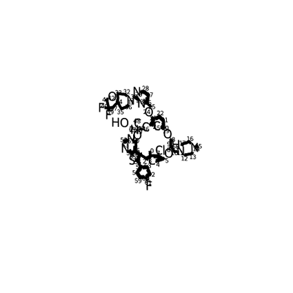 Cc1c2ccc(c1Cl)O[C@H](CN1CCN(C)CC1)COc1ccc(OCc3ccnc(N4CCC5(CC4)CC(F)(F)CO5)n3)c(c1)C[C@H](C(=O)O)Oc1ncnc3sc(-c4ccc(F)cc4)c-2c13